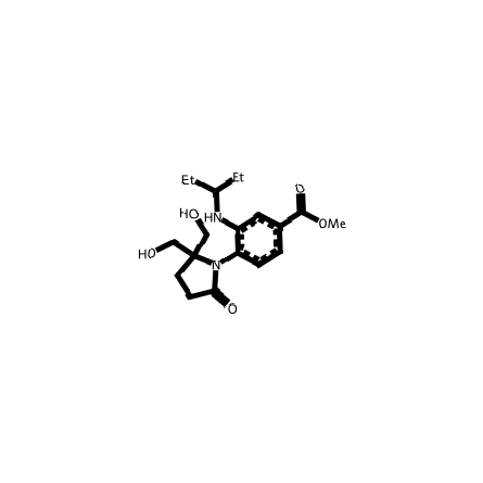 CCC(CC)Nc1cc(C(=O)OC)ccc1N1C(=O)CCC1(CO)CO